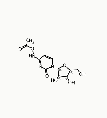 CC(=O)ONc1ccn([C@@H]2O[C@H](CO)[C@@H](O)[C@H]2O)c(=O)n1